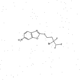 Nc1ccc2nc(SCCC(F)(Br)C(F)F)oc2c1